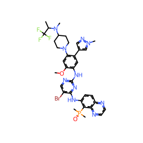 COc1cc(N2CCC(N(C)C(C)C(F)(F)F)CC2)c(-c2cnn(C)c2)cc1Nc1ncc(Br)c(Nc2ccc3nccnc3c2P(C)(C)=O)n1